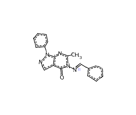 Cc1nc2c(cnn2-c2ccccc2)c(=O)n1/N=C/c1ccccc1